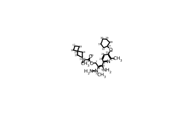 Cc1nc(/C(N)=C(\COC(=O)N(C)C2CC3(CCC3)C2)N(C)N)ccc1OC1CCCCC1